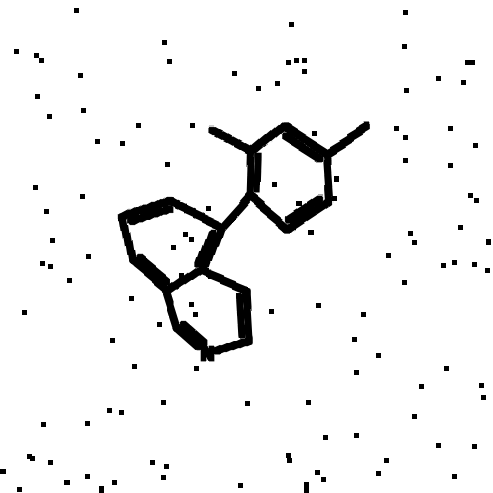 Cc1ccc(-c2cccc3cnccc23)c(C)c1